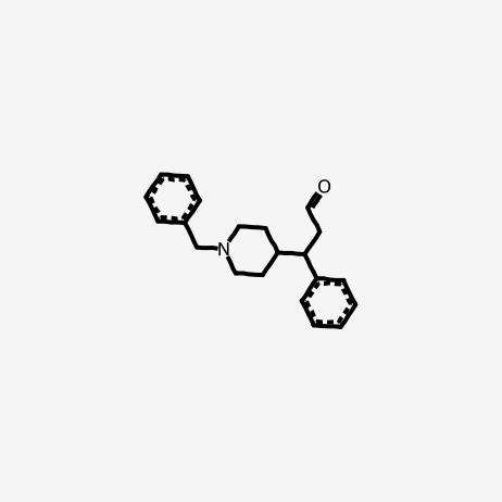 O=CCC(c1ccccc1)C1CCN(Cc2ccccc2)CC1